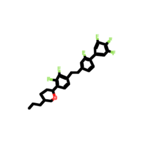 CCCC1CCC(c2ccc(CCc3ccc(-c4cc(F)c(F)c(F)c4)c(F)c3)c(F)c2F)OC1